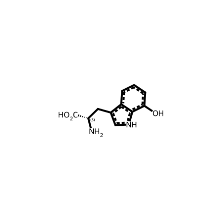 N[C@@H](Cc1c[nH]c2c(O)cccc12)C(=O)O